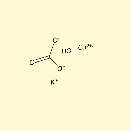 O=C([O-])[O-].[Cu+2].[K+].[OH-]